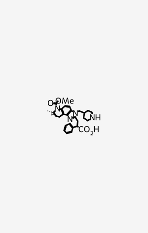 COC(=O)N1c2ccc3c(nc(CC(C(=O)O)c4ccccc4)n3CC3CCNCC3)c2CC[C@@H]1C